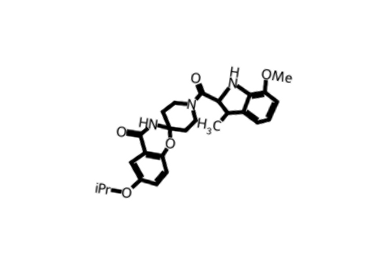 COc1cccc2c1NC(C(=O)N1CCC3(CC1)NC(=O)c1cc(OC(C)C)ccc1O3)C2C